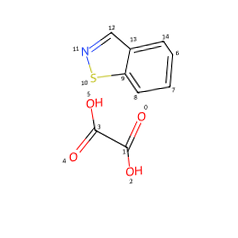 O=C(O)C(=O)O.c1ccc2sncc2c1